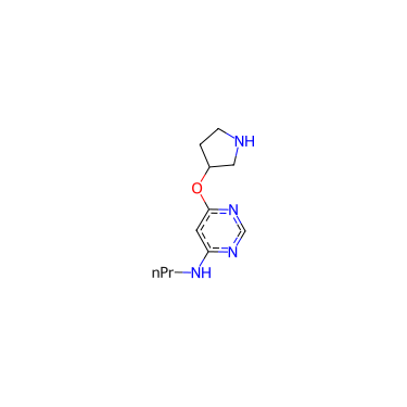 CCCNc1cc(OC2CCNC2)ncn1